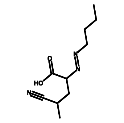 CCCCN=NC(CC(C)C#N)C(=O)O